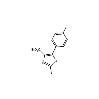 CCOC(=O)c1nc(C)oc1-c1ccc(F)cc1